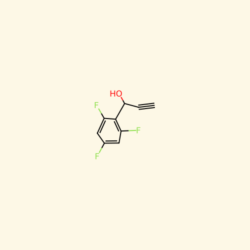 C#CC(O)c1c(F)cc(F)cc1F